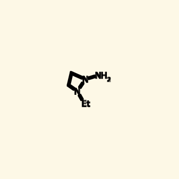 CCN1CCN1N